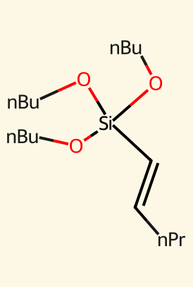 CCCC=C[Si](OCCCC)(OCCCC)OCCCC